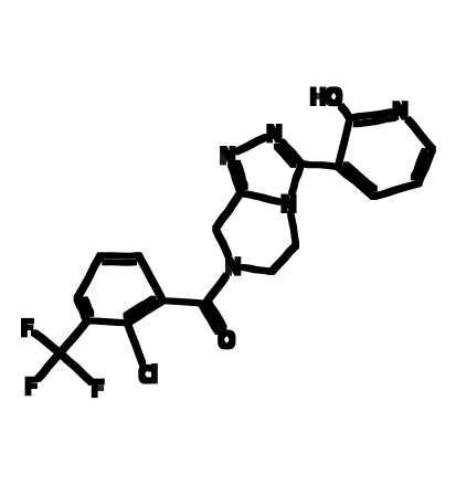 O=C(c1cccc(C(F)(F)F)c1Cl)N1CCn2c(nnc2-c2cccnc2O)C1